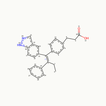 CC/C(=C(\c1ccc(CCC(=O)O)cc1)c1ccc2[nH]ncc2c1)c1ccccc1